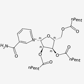 CCCCCC(=O)OC[C@H]1O[C@@H]([n+]2cccc(C(N)=O)c2)[C@H](OC(=O)CCCCC)[C@@H]1OC(=O)CCCCC